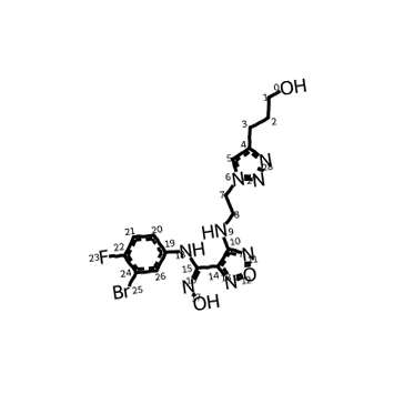 OCCCc1cn(CCNc2nonc2C(=NO)Nc2ccc(F)c(Br)c2)nn1